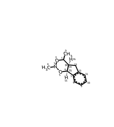 CC1ON(C)O[C@@H]2c3ccccc3C[C@H]12